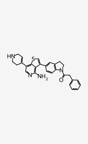 Nc1ncc(C2=CCNCC2)c2scc(-c3ccc4c(c3)CCN4C(=O)Cc3ccccc3)c12